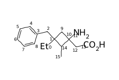 CCC1(Cc2ccccc2)CC(N)(CC(=O)O)C1C